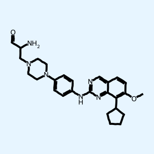 COc1ccc2cnc(Nc3ccc(N4CCN(CC(N)C=O)CC4)cc3)nc2c1C1CCCC1